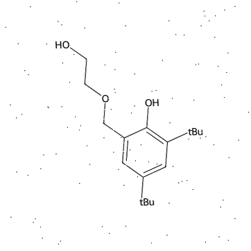 CC(C)(C)c1cc(COCCO)c(O)c(C(C)(C)C)c1